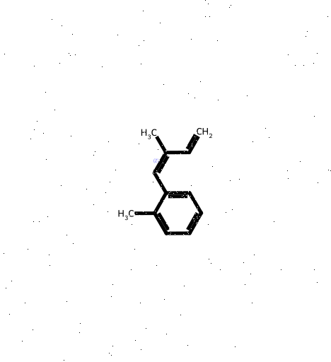 C=C/C(C)=C\c1ccccc1C